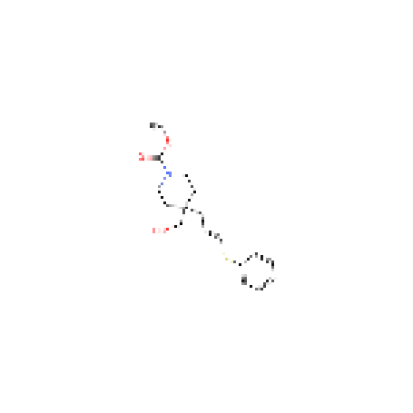 CC(C)(C)OC(=O)N1CCC(CO)(C/C=C/Sc2ccccc2)CC1